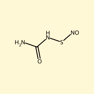 NC(=O)NSN=O